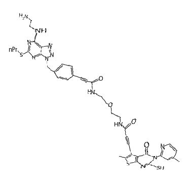 CCCSc1nc(NCCN)c2nnn(Cc3ccc(C#CC(=O)NCCOCCNC(=O)C#Cc4c(C)sc5nc(S)n(-c6cc(C)ccn6)c(=O)c45)cc3)c2n1